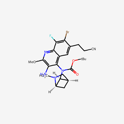 COc1nc2c(F)c(Br)c(CCC#N)cc2c(N(C(=O)OC(C)(C)C)[C@H]2[C@@H]3C[C@H]2N(C(=O)O)C3)c1N